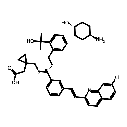 CC(C)(O)c1ccccc1CC[C@@H](SCC1(CC(=O)O)CC1)c1cccc(C=Cc2ccc3ccc(Cl)cc3n2)c1.N[C@H]1CC[C@H](O)CC1